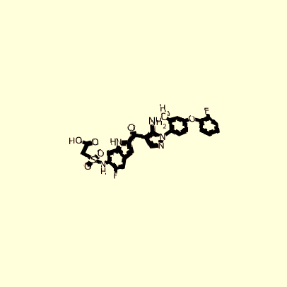 Cc1cc(Oc2ccccc2F)ccc1-n1ncc(C(=O)c2cc3cc(F)c(NS(=O)(=O)CC(=O)O)cc3[nH]2)c1N